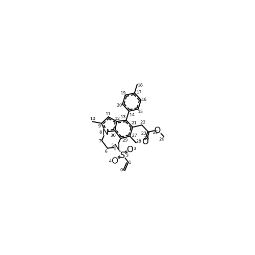 C=CS(=O)(=O)N1CCn2c(C)cc3c(-c4ccc(C)cc4)c(CC(=O)OC)c(C)c1c32